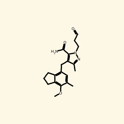 COc1c(C)cc(Cc2c(C)nn(CC[C]=O)c2C(N)=O)c2c1CCC2